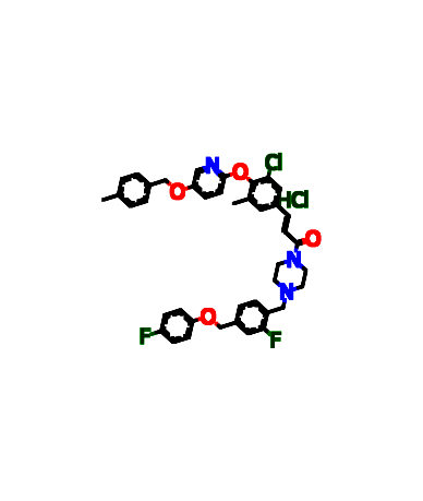 Cc1ccc(COc2ccc(Oc3c(C)cc(C=CC(=O)N4CCN(Cc5ccc(COc6ccc(F)cc6)cc5F)CC4)cc3Cl)nc2)cc1.Cl